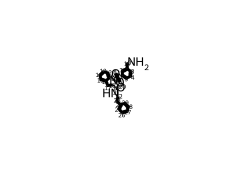 NCc1cccc(S(=O)(=O)N2c3ccccc3C[C@H]2C(=O)NCCc2ccccc2)c1